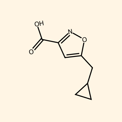 O=C(O)c1cc(CC2CC2)on1